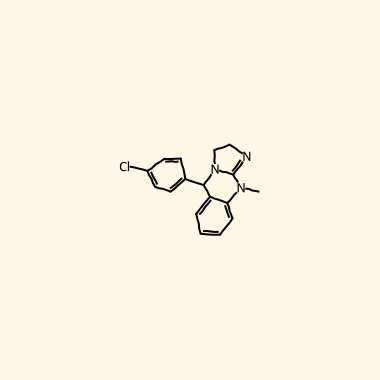 CN1C2=NCCN2C(c2ccc(Cl)cc2)c2ccccc21